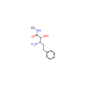 CCNC(=O)C(O)C(N)CCc1ccccc1